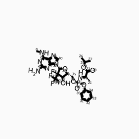 CNc1nc(N)nc2c1ncn2[C@@H]1O[C@H](COP(=O)(N[C@H](C)C(=O)OC(C)C)Oc2ccccc2)[C@@H](O)[C@]1(F)C(F)(F)F